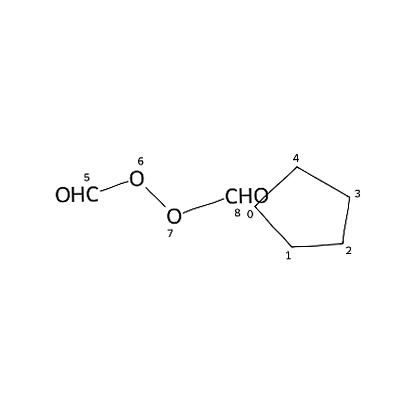 C1CCCC1.O=COOC=O